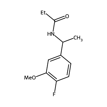 CCC(=O)NC(C)c1ccc(F)c(OC)c1